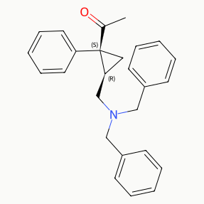 CC(=O)[C@@]1(c2ccccc2)C[C@H]1CN(Cc1ccccc1)Cc1ccccc1